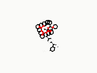 CCn1nc(-c2ncc(-c3cc(C(O)(C[PH](c4ccccc4)(c4ccccc4)c4ccccc4)C([PH](c4ccccc4)(c4ccccc4)c4ccccc4)([PH](c4ccccc4)(c4ccccc4)c4ccccc4)[PH](c4ccccc4)(c4ccccc4)c4ccccc4)ccn3)cn2)c2cc(SC)ccc21